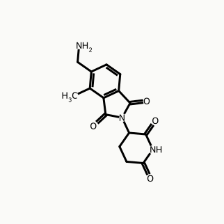 Cc1c(CN)ccc2c1C(=O)N(C1CCC(=O)NC1=O)C2=O